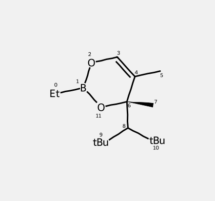 CCB1OC=C(C)[C@](C)(C(C(C)(C)C)C(C)(C)C)O1